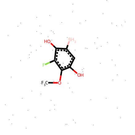 Bc1cc(O)c(OC(F)(F)F)c(F)c1O